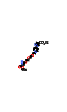 CCOC(=O)c1cnn(C2CCN(CCOCCOCCOCCNC(=O)OC(C)(C)C)CC2)c1